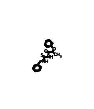 CC(Oc1ccccc1)C(=O)NC(=S)NCc1ccccc1